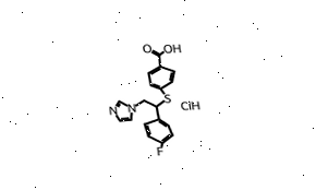 Cl.O=C(O)c1ccc(SC(Cn2ccnc2)c2ccc(F)cc2)cc1